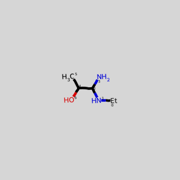 CCNC(N)C(C)O